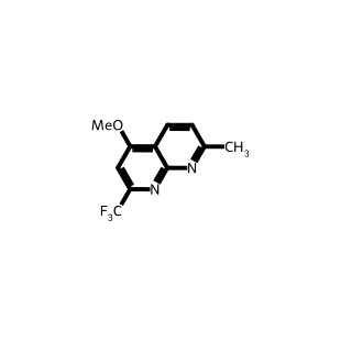 COc1cc(C(F)(F)F)nc2nc(C)ccc12